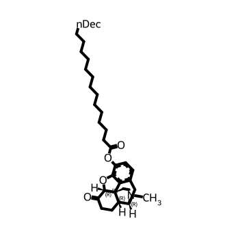 CCCCCCCCCCCCCCCCCCCCCCCC(=O)Oc1ccc2c3c1O[C@H]1C(=O)CC[C@H]4[C@@H](C2)N(C)CC[C@]314